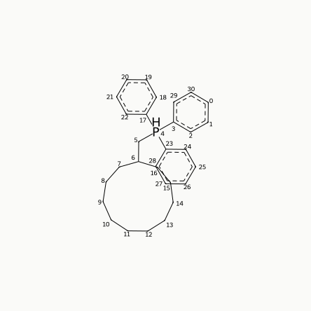 c1ccc([PH](CC2CCCCCCCCCC2)(c2ccccc2)c2ccccc2)cc1